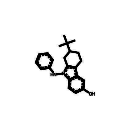 CC(C)(C)C1CCc2c(n(Nc3ccccc3)c3ccc(O)cc23)C1